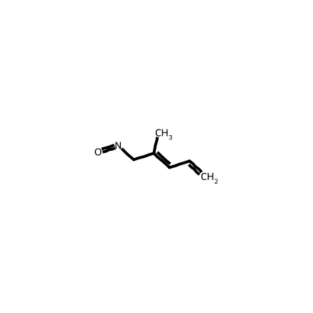 C=C/C=C(\C)CN=O